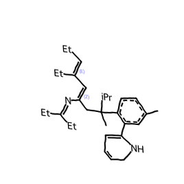 CC/C=C(/C=C(/CC(C)(c1ccc(C)cc1C1=CC=CCN1)C(C)C)N=C(CC)CC)CC